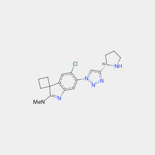 CNC1=Nc2cc(-n3cc([C@@H]4CCCN4)nn3)c(Cl)cc2C12CCC2